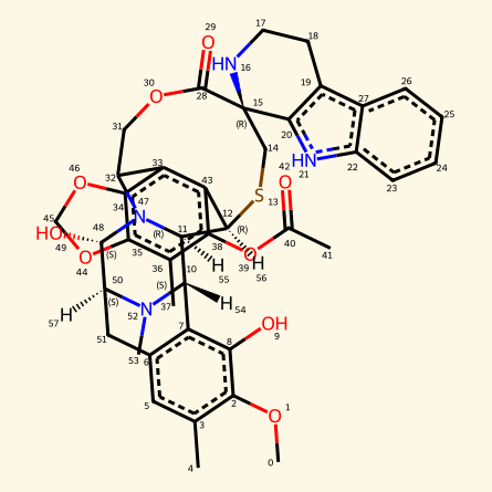 COc1c(C)cc2c(c1O)[C@H]1[C@@H]3[C@@H]4SC[C@]5(NCCc6c5[nH]c5ccccc65)C(=O)OCC(c5c6c(c(C)c(OC(C)=O)c54)OCO6)N3[C@@H](O)[C@H](C2)N1C